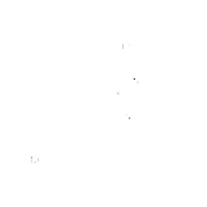 CC(O)CNC(=O)[C@@H](NC(=O)c1ccc(-c2ccc(C#N)cc2)o1)C1CCCCC1